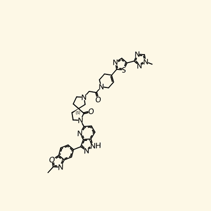 Cc1nc2cc(-c3n[nH]c4ccc(N5CC[C@]6(CCN(CC(=O)N7CC=C(c8ncc(-c9ncn(C)n9)s8)CC7)C6)C5=O)nc34)ccc2o1